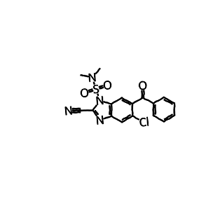 CN(C)S(=O)(=O)n1c(C#N)nc2cc(Cl)c(C(=O)c3ccccc3)cc21